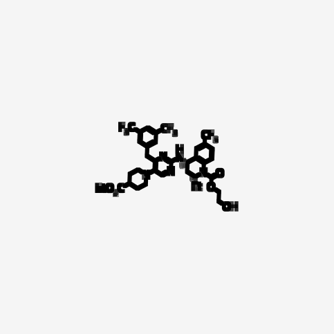 CCOC(=O)C1CCN(c2cnc(N[C@H]3C[C@@H](CC)N(C(=O)OCCO)c4ccc(C(F)(F)F)cc43)nc2Cc2cc(C(F)(F)F)cc(C(F)(F)F)c2)CC1